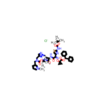 C[n+]1cccc(CN(Cc2cnn(C[C@H]3NC(=O)[C@H]3NC(=O)/C(=N\OC3(C(=O)OC(c4ccccc4)c4ccccc4)CC3)c3csc(NC(=O)OC(C)(C)C)n3)n2)C(=O)OC(C)(C)C)c1.[Cl-]